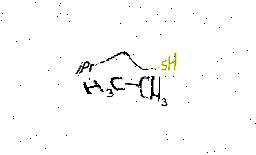 CC.CC(C)CCS